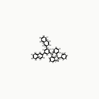 c1ccc(-c2nc3cccc4c3n2-c2ccccc2N4c2cc(-c3ccc4ccccc4c3)cc(-c3ccc4ccccc4c3)c2)cc1